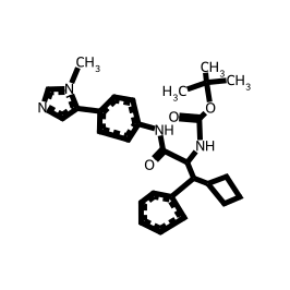 Cn1cncc1-c1ccc(NC(=O)C(NC(=O)OC(C)(C)C)C(c2ccccc2)C2CCC2)cc1